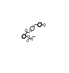 CCN(C)C(=O)Oc1ccccc1C(=O)CN1CCN(Cc2ccc(OC)cc2)CC1